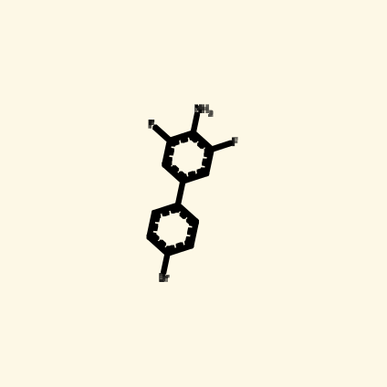 Nc1c(F)cc(-c2ccc(Br)cc2)cc1F